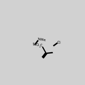 C=C(C)C(=O)OCC.CCl.CNC